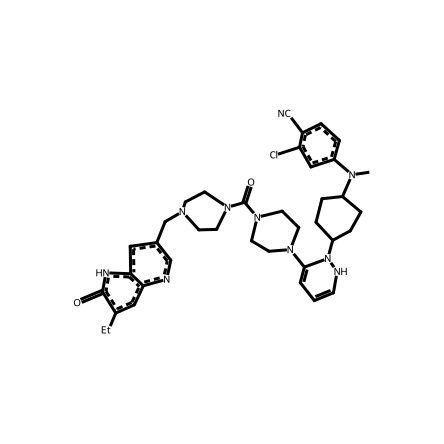 CCc1cc2ncc(CN3CCN(C(=O)N4CCN(C5=CC=CNN5C5CCC(N(C)c6ccc(C#N)c(Cl)c6)CC5)CC4)CC3)cc2[nH]c1=O